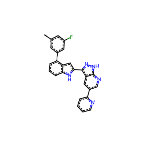 Cc1cc(F)cc(-c2cccc3[nH]c(-c4n[nH]c5ncc(-c6ccccn6)cc45)cc23)c1